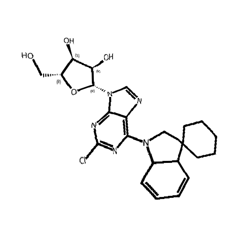 OC[C@H]1O[C@@H](n2cnc3c(N4CC5(CCCCC5)C5C=CC=CC54)nc(Cl)nc32)[C@H](O)[C@@H]1O